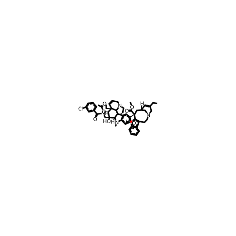 CCC1=C[C@@H]2CN(CCc3c([nH]c4ccccc34)[C@@](C(=O)OC)(c3cc4c(cc3OC)N(C)[C@H]3C(O)(CNC(=O)c5cccc(Cl)c5)[C@H](OC(C)=O)[C@]5(CC)C=CCN6CC[C@]43C65)C2)C1